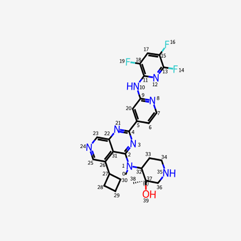 CN(c1nc(-c2ccnc(Nc3nc(F)c(F)cc3F)c2)nc2cncc(C3CCC3)c12)C1CCNC[C@@]1(C)O